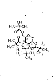 CC(C)(C)C(=O)OC[C@H]1O[CH][C@H](OC(=O)C(C)(C)C)[C@@H](OC(=O)C(C)(C)C)[C@H]1OC(=O)C(C)(C)C